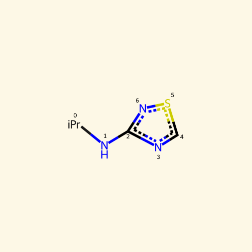 CC(C)Nc1ncsn1